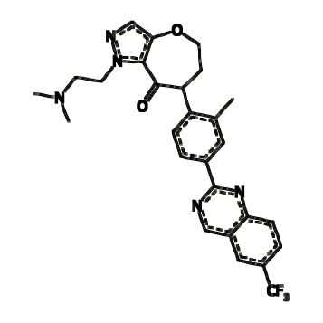 Cc1cc(-c2ncc3cc(C(F)(F)F)ccc3n2)ccc1C1CCOc2cnn(CCN(C)C)c2C1=O